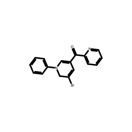 O=C(C1=CN(c2ccccc2)CC(Br)=C1)c1ccccn1